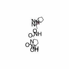 C[C@H]1C2CCC1c1c2c(CONC(=O)[C@@H]2CC[C@H]3CN2C(=O)N3O)nn1C